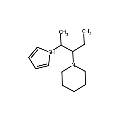 [CH2]CC(C(C)[SH]1C=CC=C1)N1CCCCC1